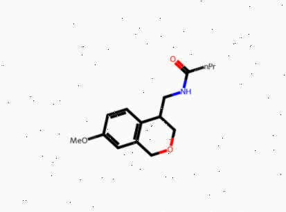 CCCC(=O)NCC1COCc2cc(OC)ccc21